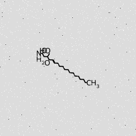 CCCCCCCCCCCCCC=CC(=O)C(CO)CC(N)=O